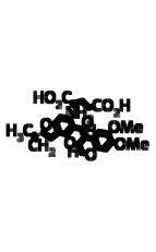 C=C(C)[C@H]1Cc2c(ccc3c2O[C@@H]2COc4cc(OC)c(OC)cc4[C@@H]2C3=O)O1.NC(CCC(=O)O)C(=O)O